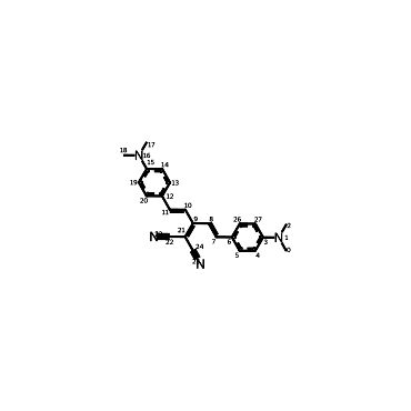 CN(C)c1ccc(C=CC(C=Cc2ccc(N(C)C)cc2)=C(C#N)C#N)cc1